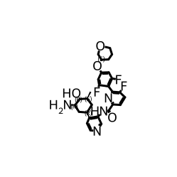 C[C@H]1C[C@@H](c2ccncc2NC(=O)c2ccc(F)c(-c3c(F)cc(O[C@H]4CCCOC4)cc3F)n2)C[C@@H](N)[C@@H]1O